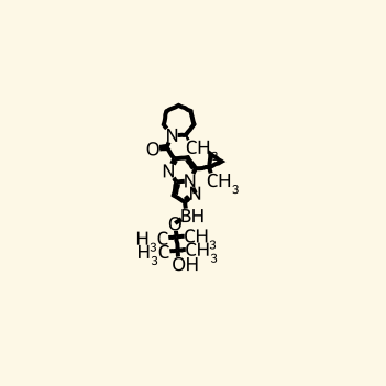 C[C@@H]1CCCCCN1C(=O)c1cc(C2(C)CC2)n2nc(BOC(C)(C)C(C)(C)O)cc2n1